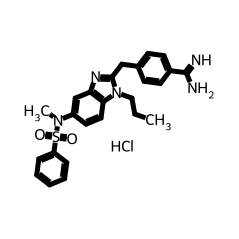 CCCn1c(Cc2ccc(C(=N)N)cc2)nc2cc(N(C)S(=O)(=O)c3ccccc3)ccc21.Cl